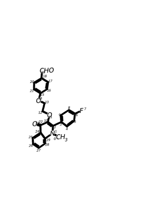 Cn1c(-c2ccc(F)cc2)c(OCCOc2ccc(C=O)cc2)c(=O)c2ccccc21